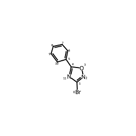 Brc1noc(-c2ccccc2)n1